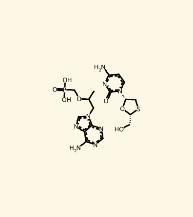 CC(Cn1cnc2c(N)ncnc21)OCP(=O)(O)O.Nc1ccn([C@@H]2CS[C@H](CO)O2)c(=O)n1